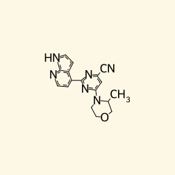 CC1COCCN1c1cc(C#N)nc(-c2ccnc3[nH]ccc23)n1